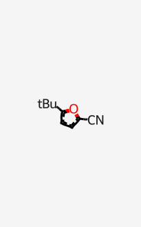 CC(C)(C)c1ccc(C#N)o1